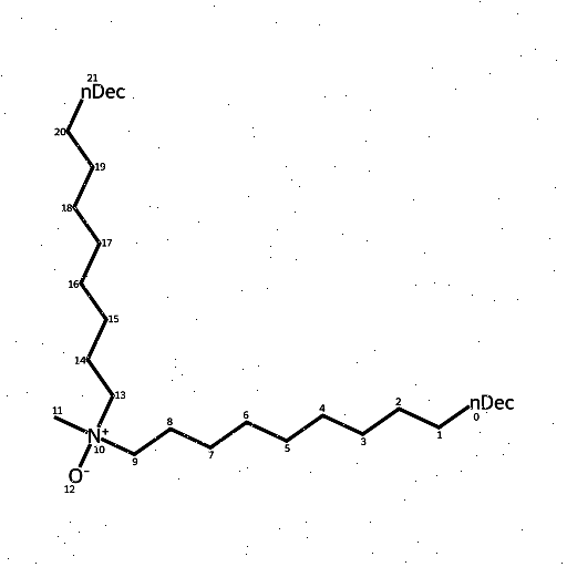 CCCCCCCCCCCCCCCCCCC[N+](C)([O-])CCCCCCCCCCCCCCCCCC